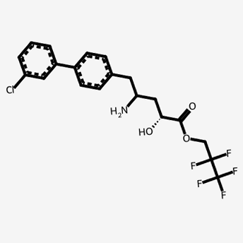 NC(Cc1ccc(-c2cccc(Cl)c2)cc1)C[C@@H](O)C(=O)OCC(F)(F)C(F)(F)F